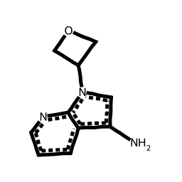 Nc1cn(C2COC2)c2ncccc12